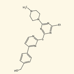 CCc1nc(Sc2nccc(-c3ccc(CO)cc3)n2)nc(N2CCN(C)CC2)n1